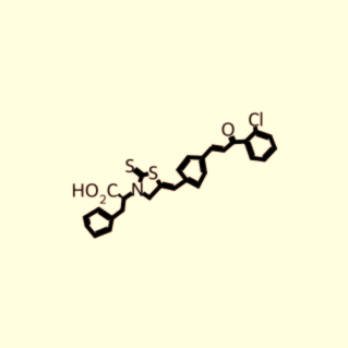 O=C(/C=C/c1ccc(/C=C2/CN([C@@H](Cc3ccccc3)C(=O)O)C(=S)S2)cc1)c1ccccc1Cl